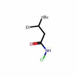 CCCCC(CC)CC(=O)NCl